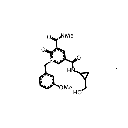 CNC(=O)c1cc(C(=O)NC2CC2CO)cn(Cc2cccc(OC)c2)c1=O